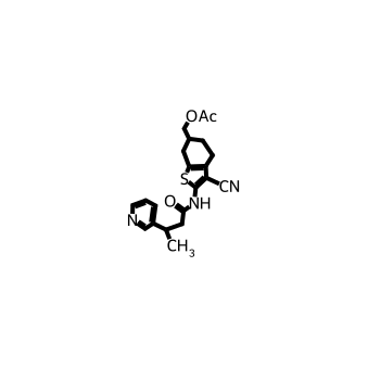 CC(=O)OCC1CCc2c(sc(NC(=O)CC(C)c3cccnc3)c2C#N)C1